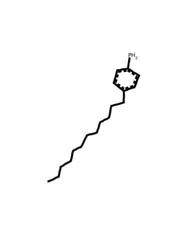 CCCCCCCCCCCCc1ccc(P)cc1